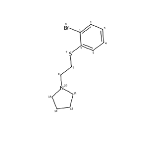 Brc1ccccc1SCCN1CCCC1